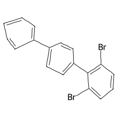 Brc1cccc(Br)c1-c1ccc(-c2ccccc2)cc1